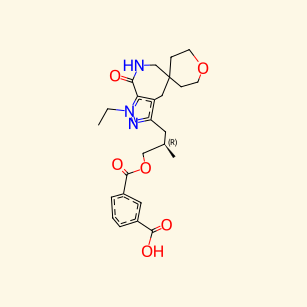 CCn1nc(C[C@@H](C)COC(=O)c2cccc(C(=O)O)c2)c2c1C(=O)NCC1(CCOCC1)C2